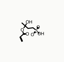 C=CC(=O)OC(C)(O)CCS(=O)(=O)O